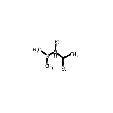 CCC(C)[SiH](CC)N(C)C